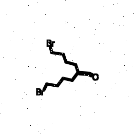 O=C=C(CCCCBr)CCCCBr